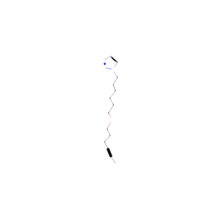 CC#CCCCOCCCCCCn1ccnn1